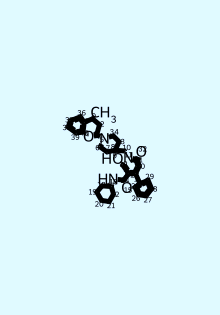 C[C@H](CC(=O)N1CCC(O)(Cn2cc(C(=O)NC3CCCCC3)c(-c3ccccc3)cc2=O)CC1)c1ccccc1